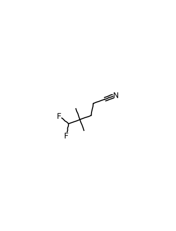 CC(C)(CCC#N)C(F)F